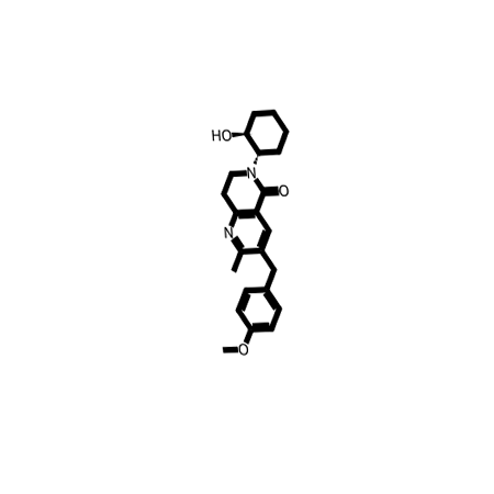 COc1ccc(Cc2cc3c(nc2C)CCN([C@H]2CCCC[C@@H]2O)C3=O)cc1